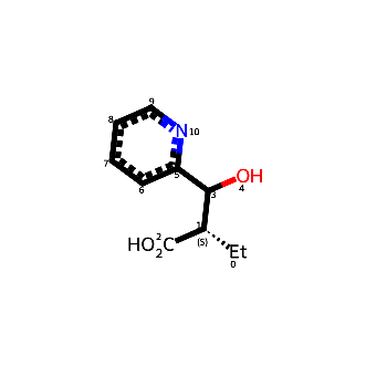 CC[C@H](C(=O)O)C(O)c1ccccn1